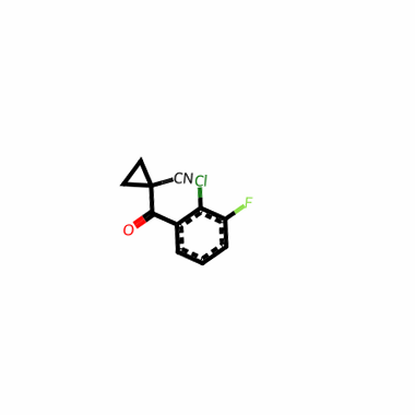 N#CC1(C(=O)c2cccc(F)c2Cl)CC1